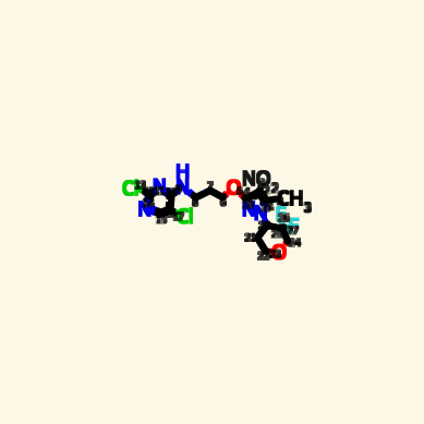 Cc1c([N+](=O)[O-])c(OCCCNc2nc(Cl)ncc2Cl)nn1C1CCOCC1(F)F